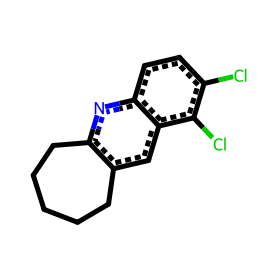 Clc1ccc2nc3c(cc2c1Cl)CCCCC3